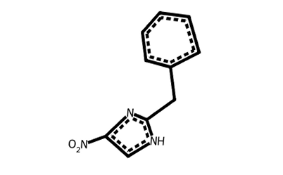 O=[N+]([O-])c1c[nH]c(Cc2ccccc2)n1